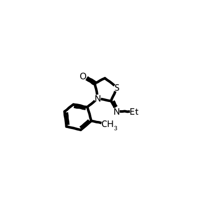 CCN=C1SCC(=O)N1c1ccccc1C